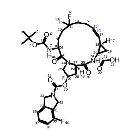 CC(C)(C)OC(=O)N[C@H]1CCC(F)(F)CC/C=C\[C@@H]2C[C@@]2(C(=O)O)NC(=O)[C@@H]2C[C@@H](OC(=O)N3Cc4cccc(F)c4C3)CN2C1=O